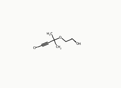 CC(C)(C#CCl)OCCO